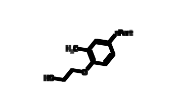 CCCCCc1ccc(OCCO)c(C)c1